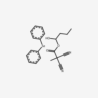 CCCC(O)OC(=O)C(C)(C#N)C#N.c1ccc([Se]c2ccccc2)cc1